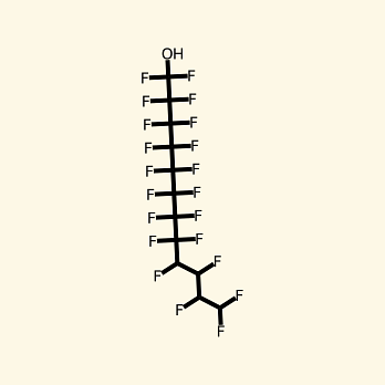 OC(F)(F)C(F)(F)C(F)(F)C(F)(F)C(F)(F)C(F)(F)C(F)(F)C(F)(F)C(F)C(F)C(F)C(F)F